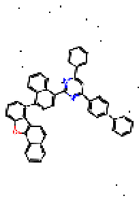 c1ccc(-c2ccc(-c3cc(-c4ccccc4)nc(-c4ccc(-c5cccc6oc7c8ccccc8ccc7c56)c5ccccc45)n3)cc2)cc1